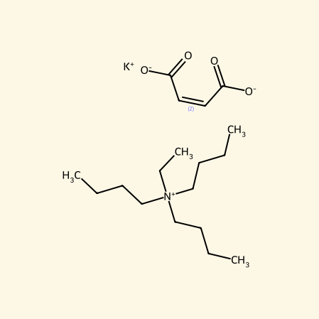 CCCC[N+](CC)(CCCC)CCCC.O=C([O-])/C=C\C(=O)[O-].[K+]